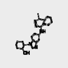 Cc1nnc(Nc2ccc3c(c2)ncn3-c2ccccc2O)c2ccccc12